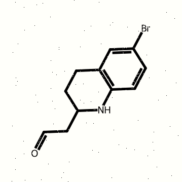 O=CCC1CCc2cc(Br)ccc2N1